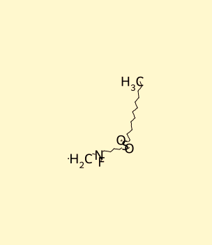 [CH2]CN(F)CCCCS(=O)(=O)CCCCCCCCCCCC